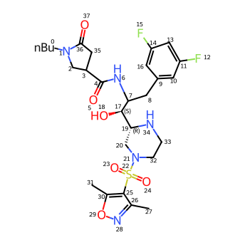 CCCCN1CC(C(=O)NC(Cc2cc(F)cc(F)c2)[C@H](O)[C@H]2CN(S(=O)(=O)c3c(C)noc3C)CCN2)CC1=O